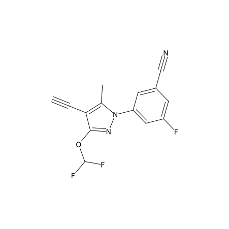 C#Cc1c(OC(F)F)nn(-c2cc(F)cc(C#N)c2)c1C